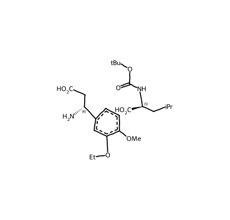 CC(C)C[C@H](NC(=O)OC(C)(C)C)C(=O)O.CCOc1cc([C@H](N)CC(=O)O)ccc1OC